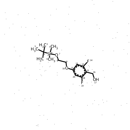 CC(C)(C)[Si](C)(C)OCCOc1cc(F)c(CO)c(F)c1